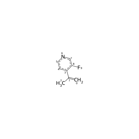 C=C(C)c1ccncc1F